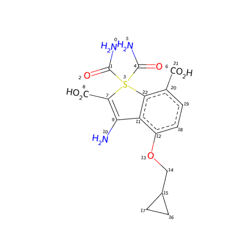 NC(=O)S1(C(N)=O)C(C(=O)O)=C(N)c2c(OCC3CC3)ccc(C(=O)O)c21